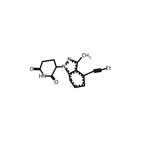 CCC#Cc1cccc2c1c(C)nn2C1CCC(=O)NC1=O